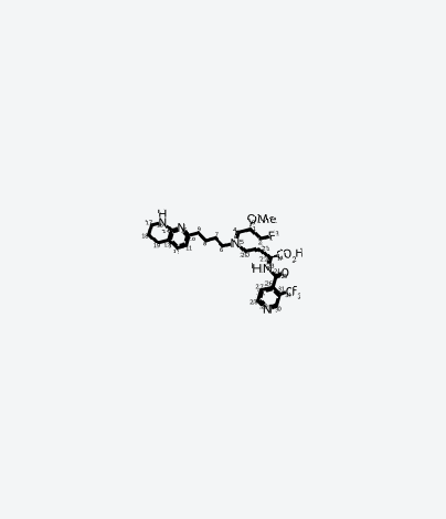 CO[C@H](CF)CN(CCCCc1ccc2c(n1)NCCC2)CC[C@H](NC(=O)c1ccncc1C(F)(F)F)C(=O)O